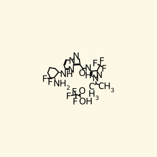 CC(C)n1cc(NC(=O)c2cnn3ccc(N[C@@H]4CCCC(F)(F)[C@@H]4N)nc23)c(C(F)(F)F)n1.O=C(O)C(F)(F)F